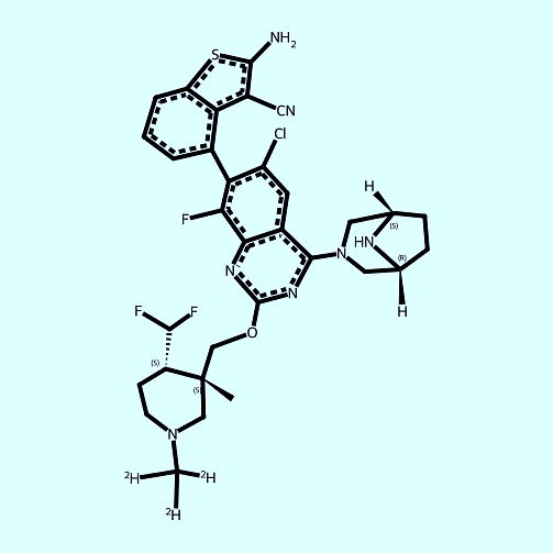 [2H]C([2H])([2H])N1CC[C@H](C(F)F)[C@](C)(COc2nc(N3C[C@H]4CC[C@@H](C3)N4)c3cc(Cl)c(-c4cccc5sc(N)c(C#N)c45)c(F)c3n2)C1